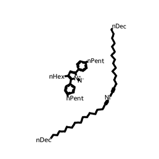 CCCCCCC1=C(c2ccc(CCCCC)cc2)[N+](=[N-])C(c2ccc(CCCCC)cc2)=C1.CCCCCCCCCCCCCCCCCCCCCCCCC#[C][Ni][C]#CCCCCCCCCCCCCCCCCCCCCCCCC